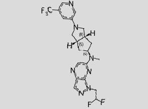 CN(c1cnc2cnn(CC(F)F)c2n1)[C@H]1C[C@@H]2CN(c3cncc(C(F)(F)F)c3)C[C@@H]2C1